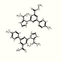 COC(=O)c1cc(-c2ccc(C)cn2)cc(-n2ncnc2C(C)C)c1.Cc1ccc(-c2cc(C(=O)O)cc(-n3ncnc3C(C)C)c2)nc1